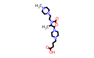 CC1C(N2CCN(CCCC(=O)O)CC2)OC(=O)N1CCN1CCN(C)CC1